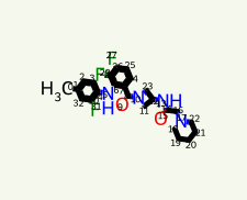 Cc1ccc(Nc2c(C(=O)N3CC(NC(=O)CN4CCCCC4)C3)ccc(F)c2F)c(F)c1